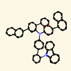 c1ccc(-c2ccc(-c3ccc4ccccc4c3)cc2N(c2ccc(-c3ccccc3-n3c4ccccc4c4ccccc43)cc2)c2ccc(-c3cccc4ccccc34)cc2)cc1